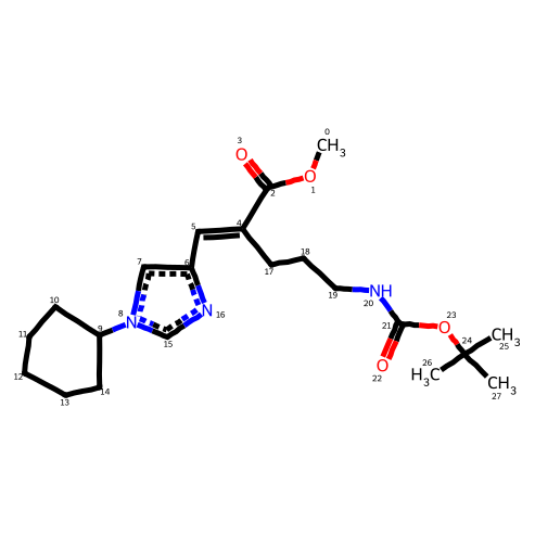 COC(=O)/C(=C/c1cn(C2CCCCC2)cn1)CCCNC(=O)OC(C)(C)C